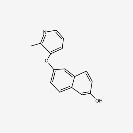 Cc1ncccc1Oc1ccc2cc(O)ccc2c1